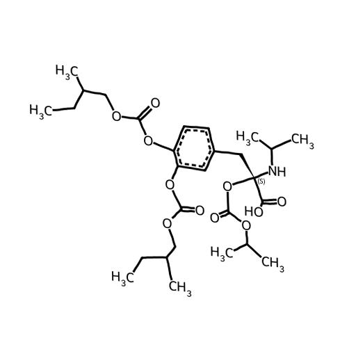 CCC(C)COC(=O)Oc1ccc(C[C@](NC(C)C)(OC(=O)OC(C)C)C(=O)O)cc1OC(=O)OCC(C)CC